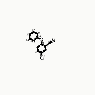 N#Cc1cc(Cl)ccc1Oc1cc[c]cn1